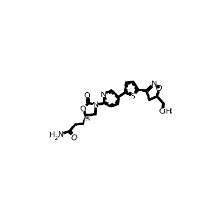 NC(=O)CC[C@@H]1CN(c2ccc(-c3ccc(C4=NOC(CO)C4)s3)cn2)C(=O)O1